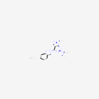 COc1ccc(CNc2nc(N(C)C)nc3c2cnn3C)cc1